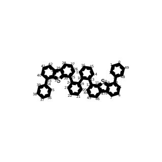 c1ccc(-c2cccc3c2sc2c(-c4ccccc4-c4ccccc4-c4cccc5c4sc4c(-c6ccccc6)cccc45)cccc23)cc1